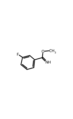 COC(=N)c1cccc(F)c1